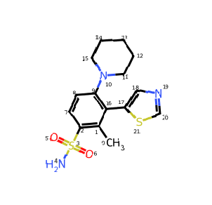 Cc1c(S(N)(=O)=O)ccc(N2CCCCC2)c1-c1cncs1